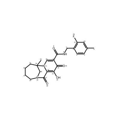 Cc1ccc(CNC(=O)c2cn3c(c(O)c2=O)C(=O)N2CCCCC3(C)C2)c(F)c1